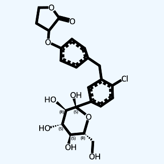 O=C1OCCC1Oc1ccc(Cc2cc([C@]3(O)O[C@H](CO)[C@@H](O)[C@H](O)[C@H]3O)ccc2Cl)cc1